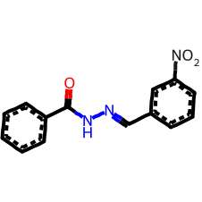 O=C(NN=Cc1cccc([N+](=O)[O-])c1)c1ccccc1